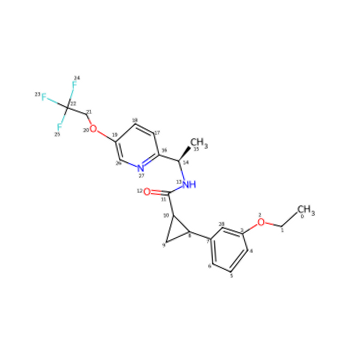 CCOc1cccc(C2CC2C(=O)N[C@H](C)c2ccc(OCC(F)(F)F)cn2)c1